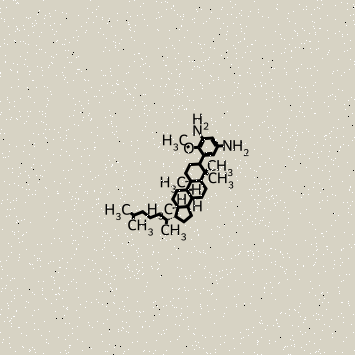 COc1c(N)cc(N)cc1C1CC[C@@]2(C)C(CC[C@H]3[C@@H]4CC[C@H](C(C)CCCC(C)C)[C@@]4(C)CC[C@@H]32)C1(C)C